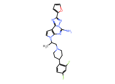 CC(CN1CCC(c2ccc(F)cc2F)CC1)n1ccc2c1nc(N)n1nc(-c3ccco3)nc21